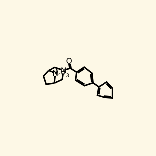 CN1C2CCC1CN(C(=O)c1ccc(-c3ccccc3)cc1)C2